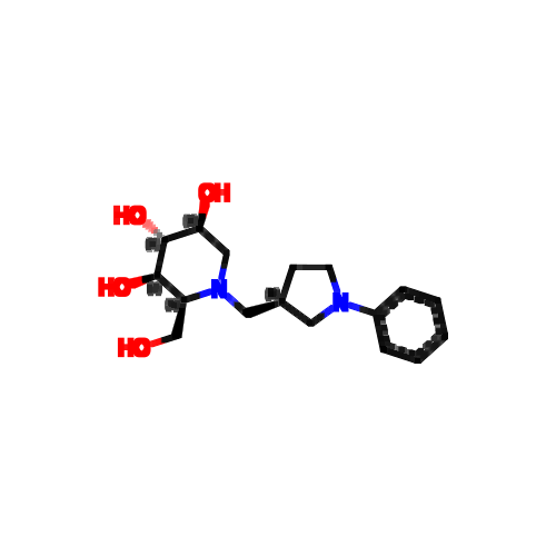 OC[C@H]1[C@@H](O)[C@H](O)[C@@H](O)CN1C[C@H]1CCN(c2ccccc2)C1